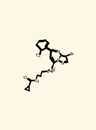 O=C(NCCCNc1cc(-c2ccccc2Cl)nc2c(Br)cnn12)C1CC1